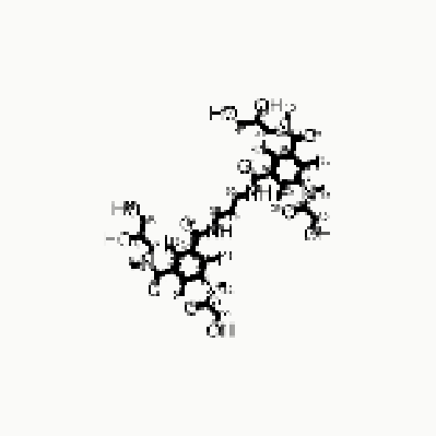 Cc1c(C(=O)N(C)CC(O)CO)c(I)c(C(=O)NCCCNC(=O)c2c(C)c(N(C)C(=O)CO)c(I)c(C(=O)N(C)CC(O)CO)c2I)c(I)c1N(C)C(=O)CO